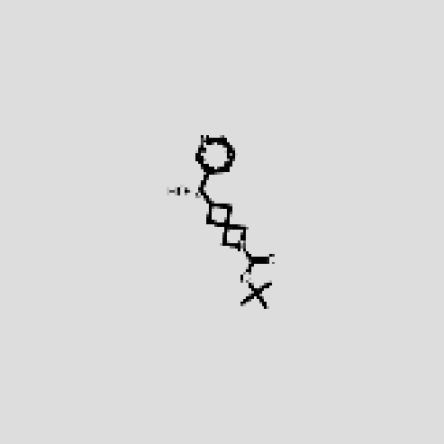 CC(C)(C)OC(=O)N1CC2(CC([C@H](O)c3cccnc3)C2)C1